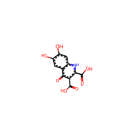 O=C(O)c1[nH]c2cc(O)c(O)cc2c(=O)c1C(=O)O